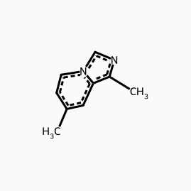 Cc1ccn2cnc(C)c2c1